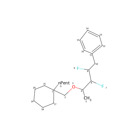 CCCCCC1(COC(C)C(F)C(F)Cc2ccccc2)CCCCC1